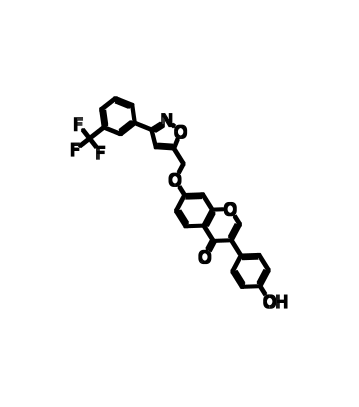 O=c1c(-c2ccc(O)cc2)coc2cc(OCc3cc(-c4cccc(C(F)(F)F)c4)no3)ccc12